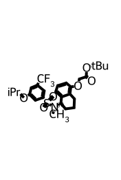 CC(C)Oc1cc(C(F)(F)F)cc(S(=O)(=O)N(C)[C@@H]2CCCc3c(OCC(=O)OC(C)(C)C)cccc32)c1